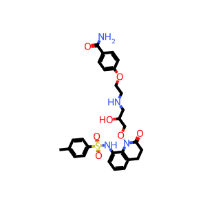 Cc1ccc(S(=O)(=O)Nc2cccc3c2N(OCC(O)CNCCOc2ccc(C(N)=O)cc2)C(=O)CC3)cc1